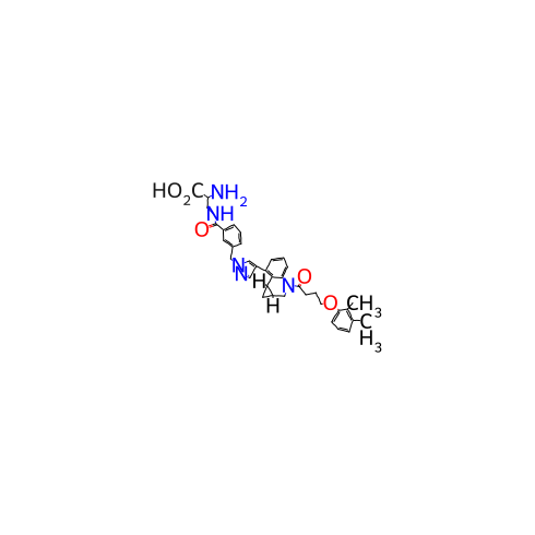 Cc1cccc(OCCCC(=O)N2C[C@@H]3C[C@@H]3c3c(-c4cnn(Cc5cccc(C(=O)NCC(N)C(=O)O)c5)c4)cccc32)c1C